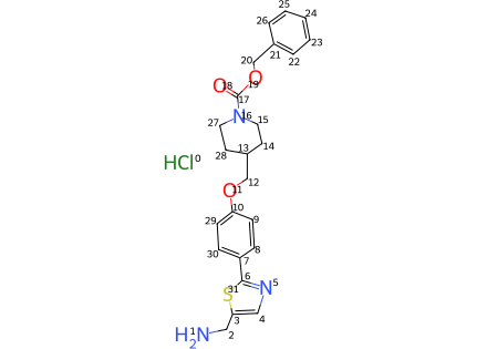 Cl.NCc1cnc(-c2ccc(OCC3CCN(C(=O)OCc4ccccc4)CC3)cc2)s1